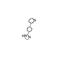 c1cncc(-c2ccc(C3=NCCN3)cc2)c1